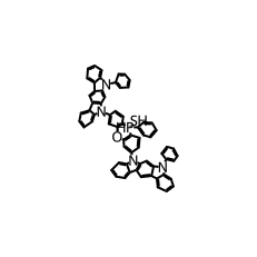 S[PH]1(c2ccccc2)c2ccc(-n3c4ccccc4c4cc5c6ccccc6n(-c6ccccc6)c5cc43)cc2Oc2cc(-n3c4ccccc4c4cc5c6ccccc6n(-c6ccccc6)c5cc43)ccc21